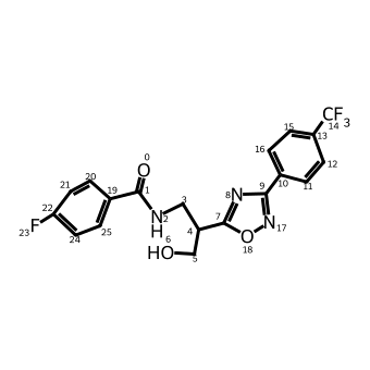 O=C(NCC(CO)c1nc(-c2ccc(C(F)(F)F)cc2)no1)c1ccc(F)cc1